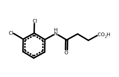 O=C(O)CCC(=O)Nc1cccc(Cl)c1Cl